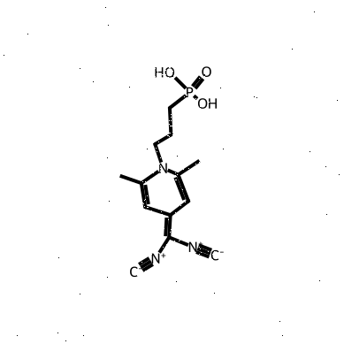 [C-]#[N+]C([N+]#[C-])=C1C=C(C)N(CCCP(=O)(O)O)C(C)=C1